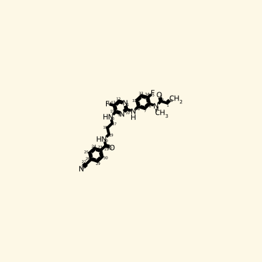 C=CC(=O)N(C)c1cc(Nc2ncc(F)c(NCCCNC(=O)c3ccc(C#N)cc3)n2)ccc1F